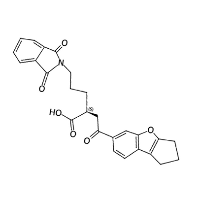 O=C(C[C@H](CCCN1C(=O)c2ccccc2C1=O)C(=O)O)c1ccc2c3c(oc2c1)CCC3